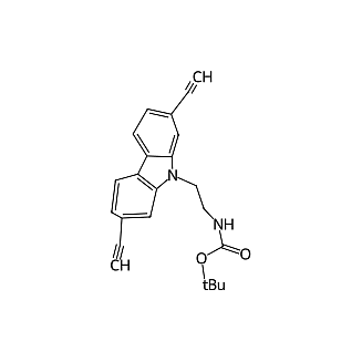 C#Cc1ccc2c3ccc(C#C)cc3n(CCNC(=O)OC(C)(C)C)c2c1